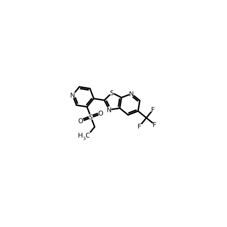 CCS(=O)(=O)c1cnccc1-c1nc2cc(C(F)(F)F)cnc2s1